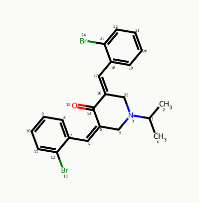 CC(C)N1CC(=Cc2ccccc2Br)C(=O)C(=Cc2ccccc2Br)C1